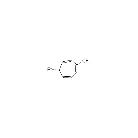 CCC1C#CC=C(C(F)(F)F)C=C1